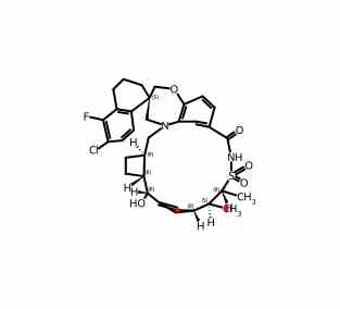 C[C@@H]1[C@@H](C)S(=O)(=O)NC(=O)c2ccc3c(c2)N(C[C@@H]2CC[C@H]2[C@@H](O)C2=C[C@H]1C2)C[C@@]1(CCCc2c1ccc(Cl)c2F)CO3